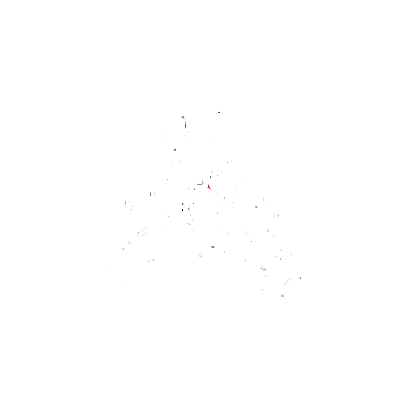 CC1(C)c2ccccc2-c2ccc(N(c3cccc(-c4ccccc4)c3)c3cccc(-c4cccc5c4oc4ccccc45)c3-c3ccccc3)cc21